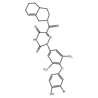 Cc1cc(-n2nc(C(=O)N3CCC4CCCC=C4C3)c(=O)[nH]c2=O)cc(C)c1Oc1ccc(O)c(Br)c1